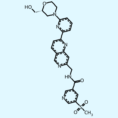 CS(=O)(=O)c1cncc(C(=O)NCc2cc3nc(-c4cccc(N5CCO[C@@H](CO)C5)n4)ccc3cn2)c1